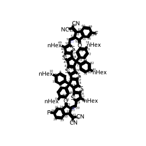 CCCCCCc1ccc(C2(c3ccc(CCCCCC)cc3)c3c(sc4c(CCCCCC)c(/C=C5\C(=O)c6cc(F)ccc6C5=C(C#N)C#N)sc34)-c3sc4c5c(sc4c32)-c2sc3c(CCCCCC)c(/C=C4\C(=O)c6cc(F)ccc6C4=C(C#N)C#N)sc3c2C5(c2ccc(CCCCCC)cc2)c2ccc(CCCCCC)cc2)cc1